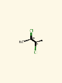 C[C@@H](Cl)[C@H](Cl)C#N